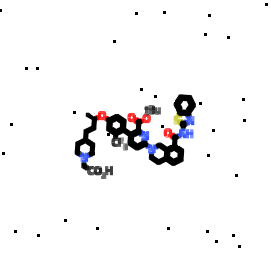 C[C@H](CCC1CCN(CC(=O)O)CC1)Oc1ccc(-c2ccc(N3CCc4cccc(C(=O)Nc5nc6ccccc6s5)c4C3)nc2C(=O)OC(C)(C)C)c(C(F)(F)F)c1